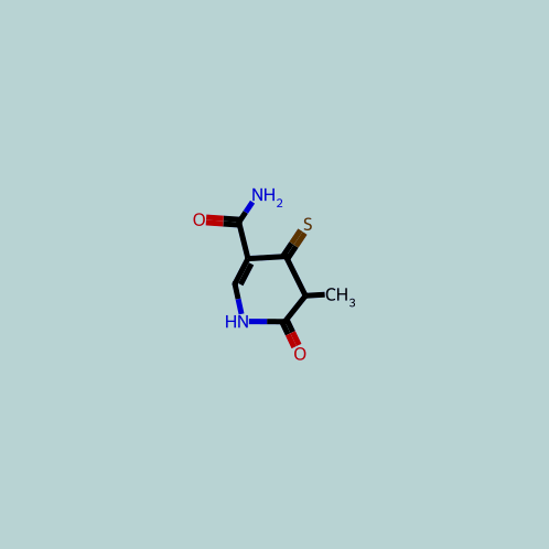 CC1C(=O)NC=C(C(N)=O)C1=S